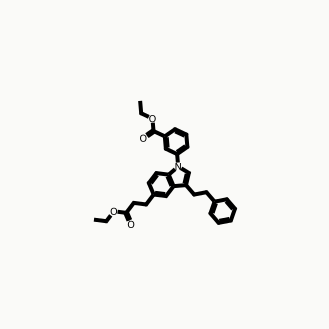 CCOC(=O)CCc1ccc2c(c1)c(CCc1ccccc1)cn2-c1cccc(C(=O)OCC)c1